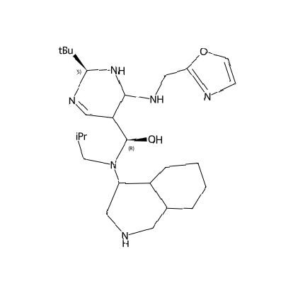 CC(C)CN(C1CNCC2CCCCC21)[C@H](O)C1C=N[C@@H](C(C)(C)C)NC1NCc1ncco1